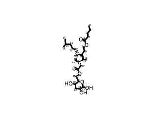 CCCCC(=O)OCC/C(SSCCC(C)C)=C(\C)N(C=O)CC(=O)OCC1OC(O)C(O)CC1O